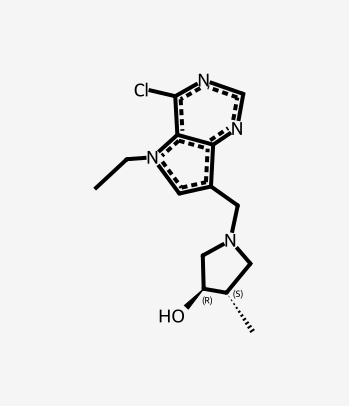 CCn1cc(CN2C[C@H](C)[C@@H](O)C2)c2ncnc(Cl)c21